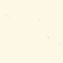 NC(=O)CC(O)C(N)=O.c1cscn1